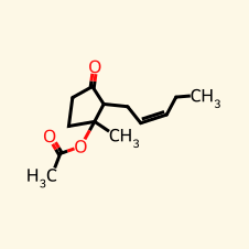 CC/C=C\CC1C(=O)CCC1(C)OC(C)=O